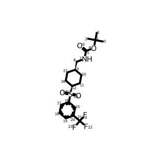 CC(C)(C)OC(=O)NC[C@H]1CC[C@@H](S(=O)(=O)c2cccc(C(F)(F)F)c2)CC1